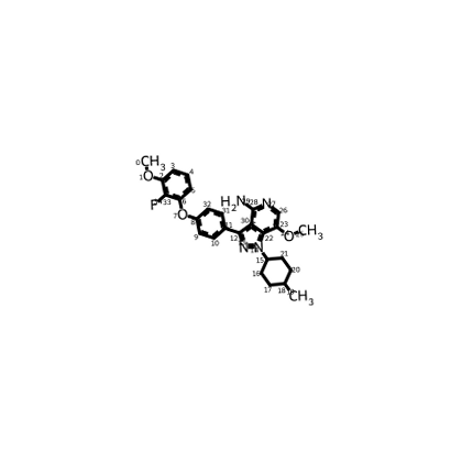 COc1cccc(Oc2ccc(-c3nn(C4CCC(C)CC4)c4c(OC)cnc(N)c34)cc2)c1F